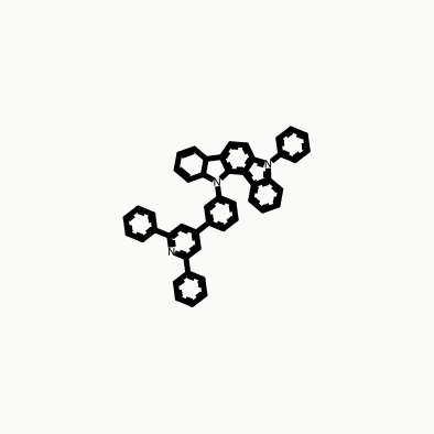 C1=CC2c3ccc4c(c3N(c3cccc(-c5cc(-c6ccccc6)nc(-c6ccccc6)c5)c3)C2C=C1)c1ccccc1n4-c1ccccc1